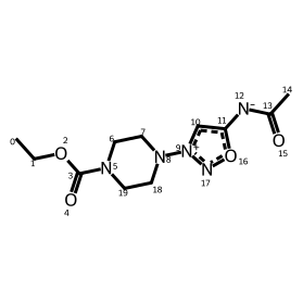 CCOC(=O)N1CCN([n+]2cc([N-]C(C)=O)on2)CC1